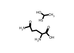 CC(O)S.NC(=O)CCC(N)C(=O)O